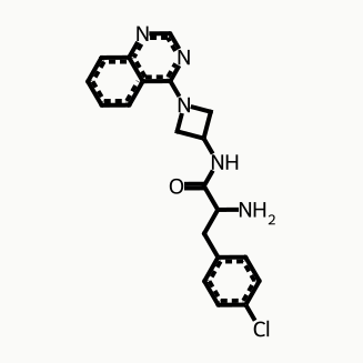 NC(Cc1ccc(Cl)cc1)C(=O)NC1CN(c2ncnc3ccccc23)C1